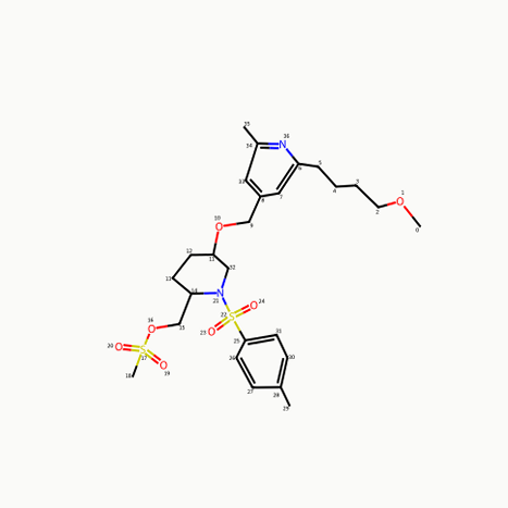 COCCCCc1cc(COC2CCC(COS(C)(=O)=O)N(S(=O)(=O)c3ccc(C)cc3)C2)cc(C)n1